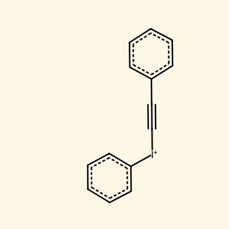 C(#Cc1ccccc1)[I+]c1ccccc1